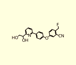 N#Cc1cc(Oc2ccc(-c3cccc(C(O)CO)n3)cc2)ccc1CF